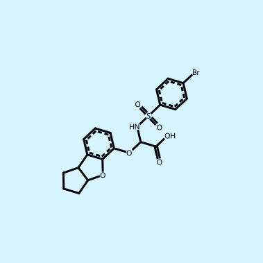 O=C(O)C(NS(=O)(=O)c1ccc(Br)cc1)Oc1cccc2c1OC1CCCC21